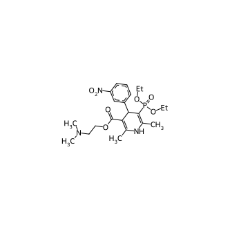 CCOP(=O)(OCC)C1=C(C)NC(C)=C(C(=O)OCCN(C)C)C1c1cccc([N+](=O)[O-])c1